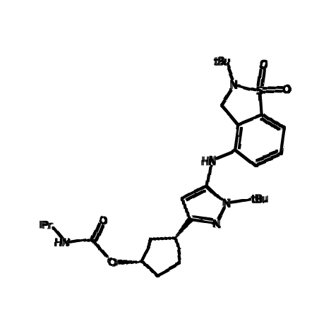 CC(C)NC(=O)O[C@@H]1CC[C@H](c2cc(Nc3cccc4c3CN(C(C)(C)C)S4(=O)=O)n(C(C)(C)C)n2)C1